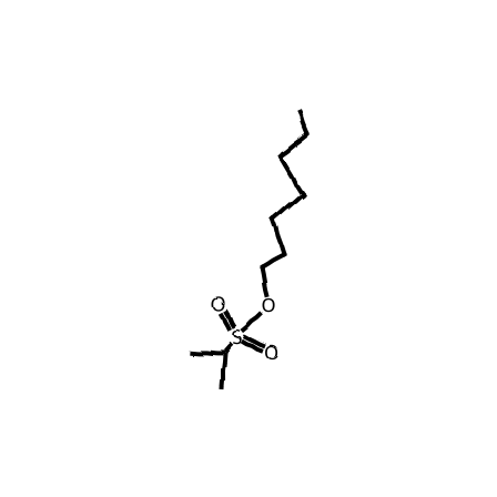 CCCCCCCOS(=O)(=O)C(C)C